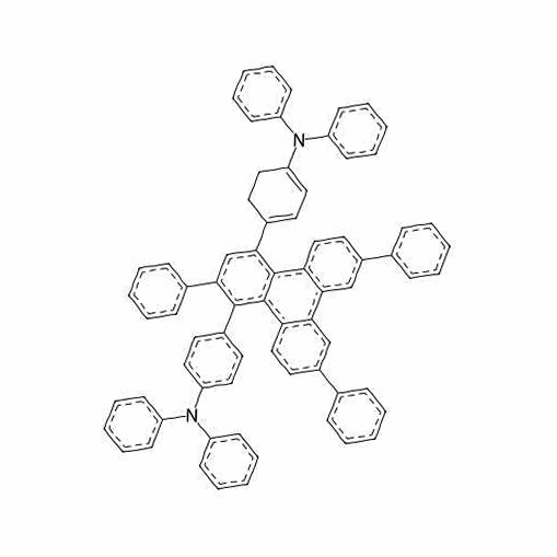 C1=C(c2cc(-c3ccccc3)c(-c3ccc(N(c4ccccc4)c4ccccc4)cc3)c3c4ccc(-c5ccccc5)cc4c4cc(-c5ccccc5)ccc4c23)CCC(N(c2ccccc2)c2ccccc2)=C1